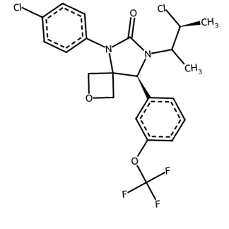 CC([C@H](C)Cl)N1C(=O)N(c2ccc(Cl)cc2)C2(COC2)[C@@H]1c1cccc(OC(F)(F)F)c1